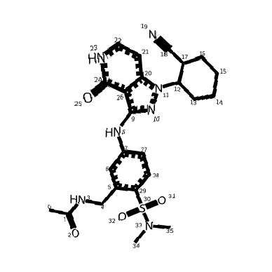 CC(=O)NCc1cc(Nc2nn(C3CCCCC3C#N)c3cc[nH]c(=O)c23)ccc1S(=O)(=O)N(C)C